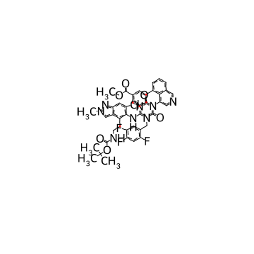 COC(=O)c1cccc(-c2cccc3cncc(-n4c(=O)nc(Nc5c(Cl)cc6nn(C)cc6c5CCNC(=O)OC(C)(C)C)n(Cc5cc(F)c(F)cc5F)c4=O)c23)c1